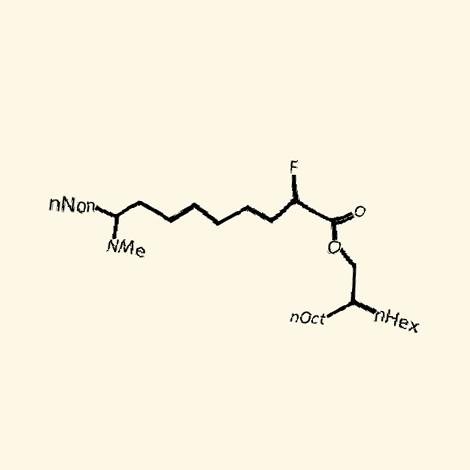 CCCCCCCCCC(CCCCCCC(F)C(=O)OCC(CCCCCC)CCCCCCCC)NC